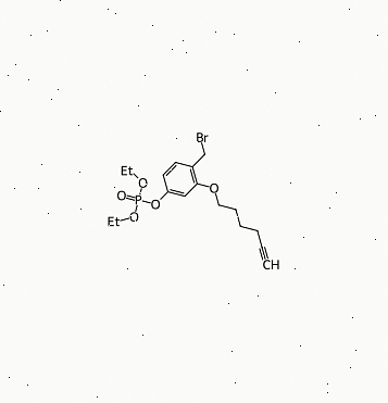 C#CCCCCOc1cc(OP(=O)(OCC)OCC)ccc1CBr